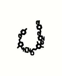 COc1ccc(COc2ccc(Oc3c(C)cc(C=CC(=O)N4CCN(Cc5ccc(CCOc6ccc(C)cc6)cc5C)CC4)cc3C)nc2)cc1